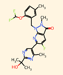 Cc1ccc(OC(F)F)c(Cn2c3nc(-c4cnc(C(C)(C)O)nc4C)c(F)cc3c(=O)n2C)c1